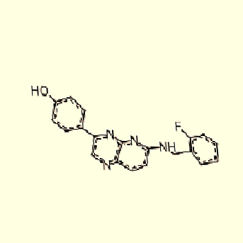 Oc1ccc(-c2cnc3ccc(NCc4ccccc4F)nc3n2)cc1